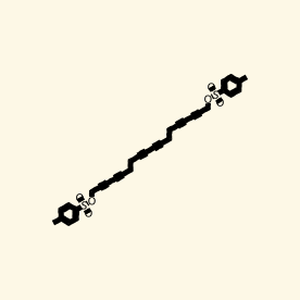 Cc1ccc(S(=O)(=O)OCC#CC#CCCC#CC#CCCC#CC#CCOS(=O)(=O)c2ccc(C)cc2)cc1